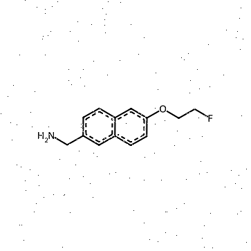 NCc1ccc2cc(OCCF)ccc2c1